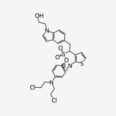 O=[N+]([O-])c1sccc1C(Cc1ccc2c(ccn2CCO)c1)S(=O)(=O)Oc1ccc(N(CCCl)CCCl)cc1